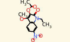 CCn1c(=O)c(OC(C)=O)c(OC)c2ccc([N+](=O)[O-])cc21